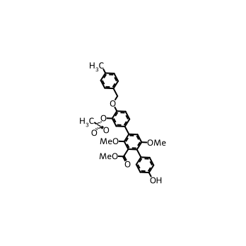 COC(=O)c1c(OC)c(-c2ccc(OCc3ccc(C)cc3)c(OS(C)(=O)=O)c2)cc(OC)c1-c1ccc(O)cc1